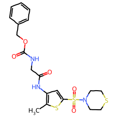 Cc1sc(S(=O)(=O)N2CCSCC2)cc1NC(=O)CNC(=O)OCc1ccccc1